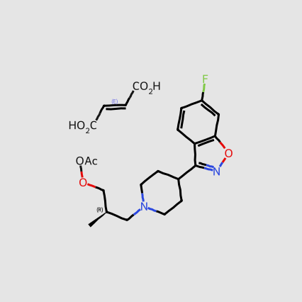 CC(=O)OOC[C@H](C)CN1CCC(c2noc3cc(F)ccc23)CC1.O=C(O)/C=C/C(=O)O